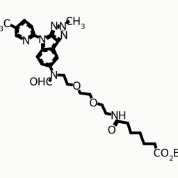 CCOC(=O)CCCCCC(=O)NCCOCCOCCN(C=O)c1ccc2c(c1)c1nn(C)nc1n2-c1ccc(C(F)(F)F)cn1